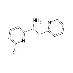 NC(Cc1ccccn1)c1cccc(Cl)n1